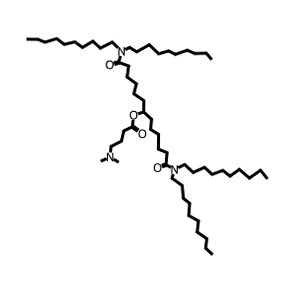 CCCCCCCCCCN(CCCCCCCCCC)C(=O)CCCCCC(CCCCCC(=O)N(CCCCCCCCCC)CCCCCCCCCC)OC(=O)CCCN(C)C